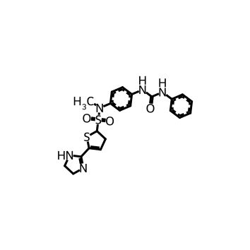 CN(c1ccc(NC(=O)Nc2ccccc2)cc1)S(=O)(=O)C1CC=C(C2=NCCN2)S1